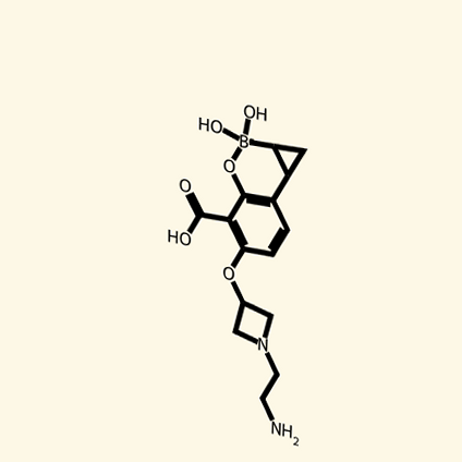 NCCN1CC(Oc2ccc3c(c2C(=O)O)O[B-](O)(O)C2CC32)C1